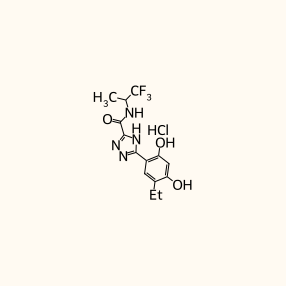 CCc1cc(-c2nnc(C(=O)NC(C)C(F)(F)F)[nH]2)c(O)cc1O.Cl